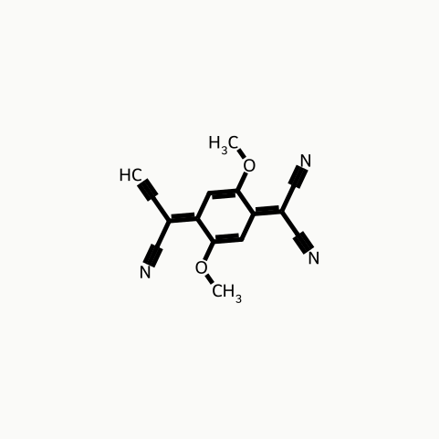 C#C/C(C#N)=c1\cc(OC)c(=C(C#N)C#N)cc1OC